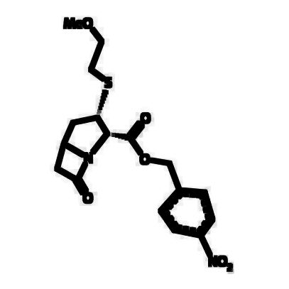 COCCS[C@H]1CC2CC(=O)N2[C@H]1C(=O)OCc1ccc([N+](=O)[O-])cc1